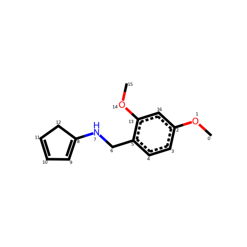 COc1ccc(CNC2=CC=CC2)c(OC)c1